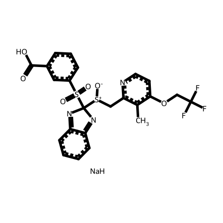 Cc1c(OCC(F)(F)F)ccnc1C[S+]([O-])C1(S(=O)(=O)c2cccc(C(=O)O)c2)N=c2ccccc2=N1.[NaH]